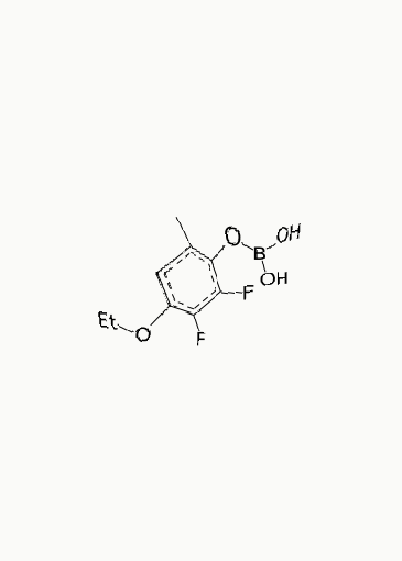 CCOc1cc(C)c(OB(O)O)c(F)c1F